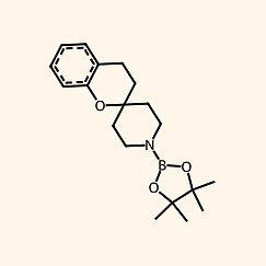 CC1(C)OB(N2CCC3(CCc4ccccc4O3)CC2)OC1(C)C